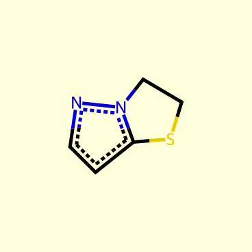 c1cc2n(n1)CCS2